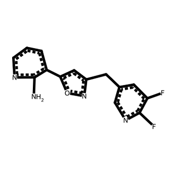 Nc1ncccc1-c1cc(Cc2cnc(F)c(F)c2)no1